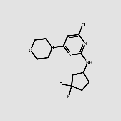 FC1(F)CCC(Nc2nc(Cl)cc(N3CCOCC3)n2)C1